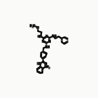 COCCNc1nc(NCCc2ccccc2)nc(NCc2ccc(C(=O)Nc3ccccc3N)cc2)n1